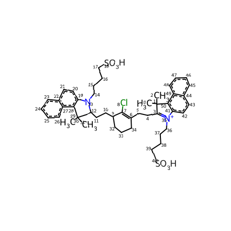 CC1(C)C(CCC2=C(Cl)C(CCC3N(CCCCS(=O)(=O)O)c4ccc5ccccc5c4C3(C)C)CCC2)=[N+](CCCCS(=O)(=O)O)c2ccc3ccccc3c21